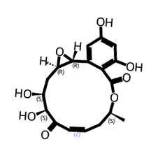 C[C@H]1C/C=C\C(=O)[C@@H](O)[C@@H](O)C[C@H]2O[C@@H]2c2cc(O)cc(O)c2C(=O)O1